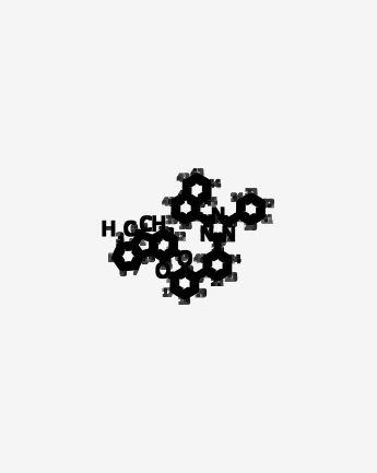 CC1(C)c2ccccc2-c2c1ccc1c2Oc2cccc(-c3cccc(-c4nc(-c5ccccc5)nc(-c5cccc6ccccc56)n4)c3)c2O1